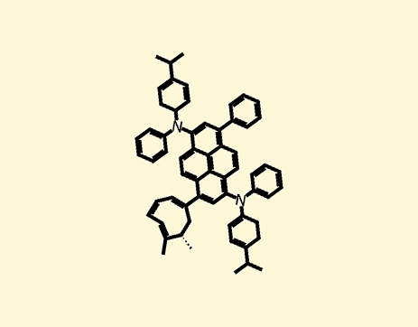 C\C1=C/C=C\C=C(\c2cc(N(C3=CC=C(C(C)C)CC3)c3ccccc3)c3ccc4c(-c5ccccc5)cc(N(c5ccccc5)C5C=CC(C(C)C)=CC5)c5ccc2c3c45)C[C@@H]1C